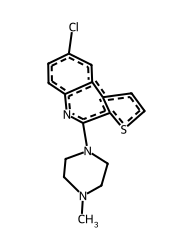 CN1CCN(c2nc3ccc(Cl)cc3c3ccsc23)CC1